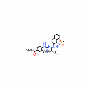 CNC(=O)c1ccc(Nc2ncc(C(F)(F)F)c(N[C@@H]3CCc4ccccc4[C@H]3N(C)S(C)(=O)=O)n2)c(OC)c1